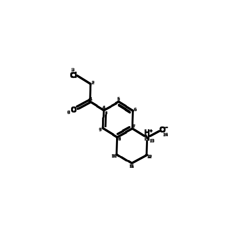 O=C(CCl)c1ccc2c(c1)CCC[NH+]2[O-]